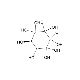 O[C@@H]1[C@@H](O)C(O)(O)C(O)(O)C(O)(O)C1(O)O